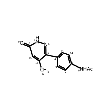 CC(=O)Nc1ccc(-c2n[nH]c(=O)cc2C)cc1